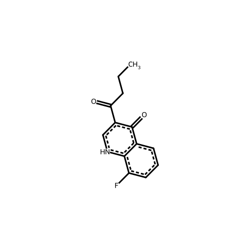 CCCC(=O)c1c[nH]c2c(F)cccc2c1=O